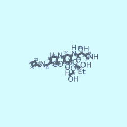 CC[C@@H](O)[C@H](OCCO)O[C@@H]1[C@@H](O)[C@H](O[C@@H]2CCC=C(CNCC3CCC3)O2)[C@@H](N)C[C@H]1NC(=O)C(O)C1CNC1